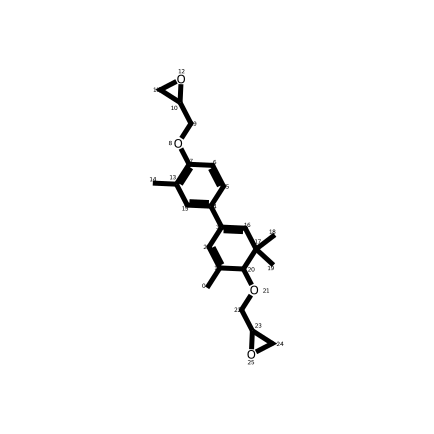 CC1=CC(c2ccc(OCC3CO3)c(C)c2)=CC(C)(C)C1OCC1CO1